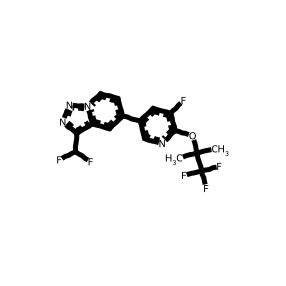 CC(C)(Oc1ncc(-c2ccn3nnc(C(F)F)c3c2)cc1F)C(F)(F)F